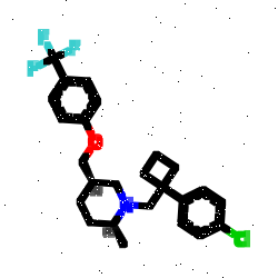 C[C@H]1CC[C@@H](COc2ccc(C(F)(F)F)cc2)CN1CC1(c2ccc(Cl)cc2)CCC1